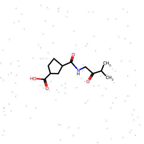 CC(C)C(=O)CNC(=O)C1CCC(C(=O)O)C1